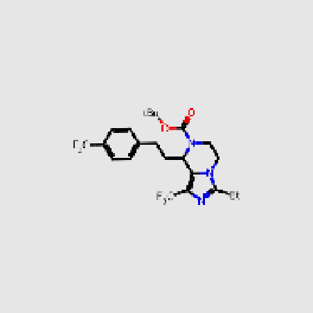 CCc1nc(C(F)(F)F)c2n1CCN(C(=O)OC(C)(C)C)C2CCc1ccc(C(F)(F)F)cc1